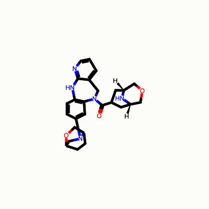 O=C(C1C[C@H]2COC[C@@H](C1)N2)N1Cc2cccnc2Nc2ccc(N3CC4CCC3CO4)cc21